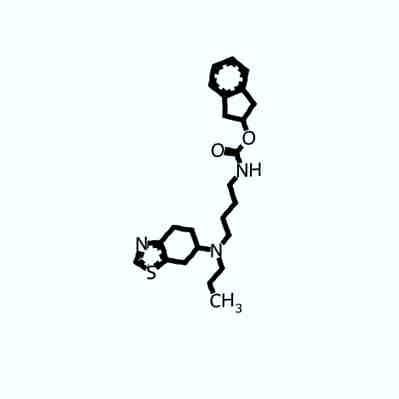 CCCN(CCCCNC(=O)OC1Cc2ccccc2C1)C1CCc2ncsc2C1